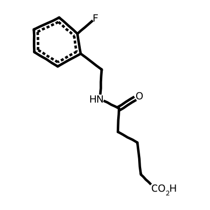 O=C(O)CCCC(=O)NCc1ccccc1F